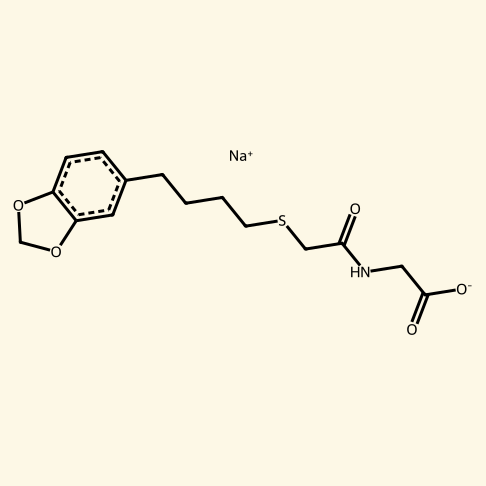 O=C([O-])CNC(=O)CSCCCCc1ccc2c(c1)OCO2.[Na+]